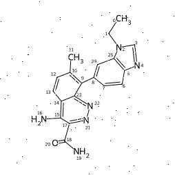 CCn1cnc2ccc(-c3c(C)ccc4c(N)c(C(N)=O)nnc34)cc21